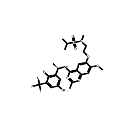 COc1cc2nc(C)nc(N[C@H](C)c3cc(N)cc(C(F)(F)F)c3F)c2cc1OCCN(C)S(=O)(=O)C(C)C